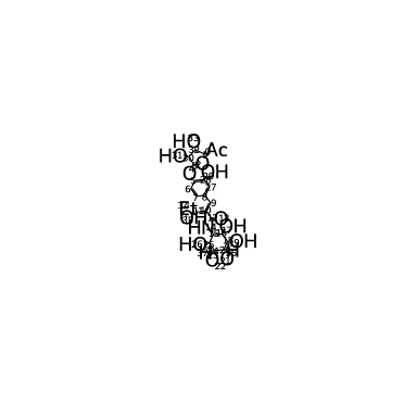 CC(=O)[C@H]1O[C@@H](Oc2ccc(/C=C(\C)C(=O)N[C@H]3[C@@H](O)[C@H](O)[C@@H]4OCO[C@@H]4[C@H]3O)cc2O)[C@@H](O)[C@@H]1O.CCO